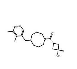 Cc1cccc(CC2CCCN(C(=O)[C@H]3C[C@@](C)(O)C3)CCC2)c1C